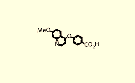 COc1ccc2c(Oc3ccc(C(=O)O)cc3)ccnc2c1